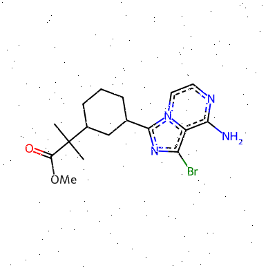 COC(=O)C(C)(C)C1CCCC(c2nc(Br)c3c(N)nccn23)C1